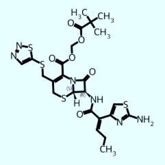 CCC=C(C(=O)N[C@@H]1C(=O)N2C(C(=O)OCOC(=O)C(C)(C)C)=C(CSc3cnns3)CS[C@@H]12)c1csc(N)n1